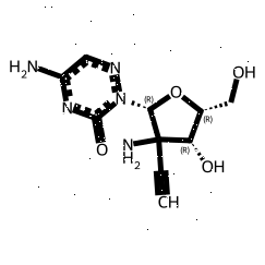 C#CC1(N)[C@@H](O)[C@@H](CO)O[C@H]1n1ncc(N)nc1=O